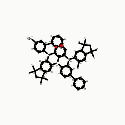 Cc1cc2c3c(c1)N(c1ccc(C(C)(C)C)cc1-c1ccccc1)c1cc4c(cc1B3c1ccc(-c3ccccc3)cc1N2c1cc2c(cc1C)C(C)(C)CC2(C)C)C(C)(C)CC4(C)C